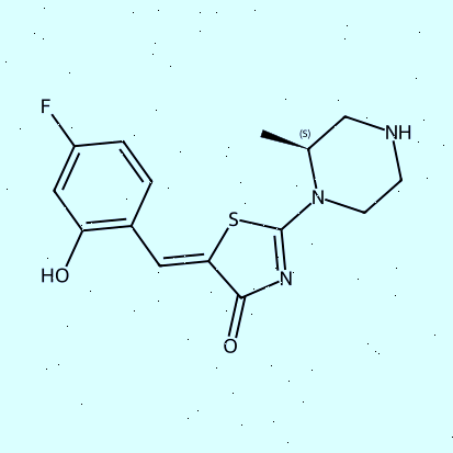 C[C@H]1CNCCN1C1=NC(=O)C(=Cc2ccc(F)cc2O)S1